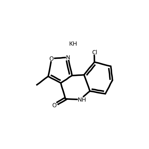 Cc1onc2c1c(=O)[nH]c1cccc(Cl)c12.[KH]